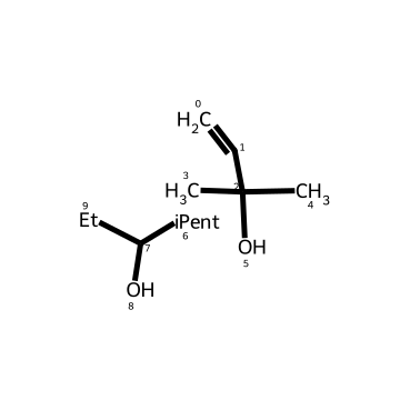 C=CC(C)(C)O.CCCC(C)C(O)CC